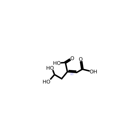 O=C(O)/C=C(/CC(O)O)C(=O)O